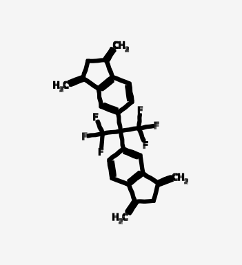 C=C1CC(=C)c2cc(C(c3ccc4c(c3)C(=C)CC4=C)(C(F)(F)F)C(F)(F)F)ccc21